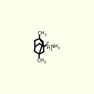 CC12CC3CC(C)(C1)CC(C)(C3)C2.N